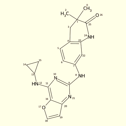 CC1(C)Cc2ccc(Nc3nc(NC4CC4)c4occc4n3)cc2NC1=O